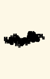 C=CCOC(=O)N1c2cc(OCCCC(=O)Nc3cn(C)c(C(=O)Nc4cc(C(=O)Nc5cc(C(=O)O)n(C)c5)n(C)c4)n3)c(OC)cc2C(=O)N2CC(=C)C[C@H]2C1OC1CCCCO1